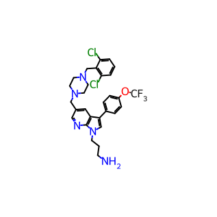 NCCCn1cc(-c2ccc(OC(F)(F)F)cc2)c2cc(CN3CCN(Cc4c(Cl)cccc4Cl)CC3)cnc21